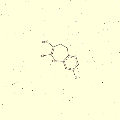 O=CC1=C(Cl)Nc2cc(Cl)ccc2CC1